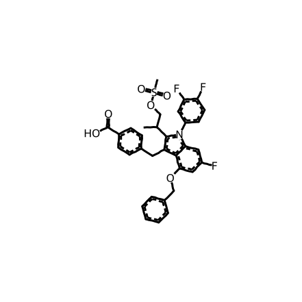 CC(COS(C)(=O)=O)c1c(Cc2ccc(C(=O)O)cc2)c2c(OCc3ccccc3)cc(F)cc2n1-c1ccc(F)c(F)c1